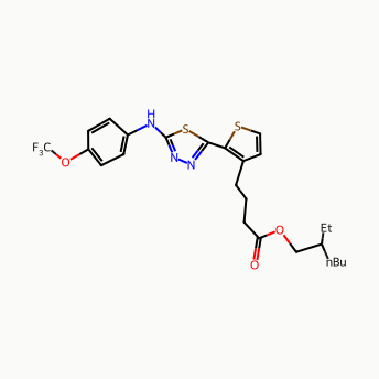 CCCCC(CC)COC(=O)CCCc1ccsc1-c1nnc(Nc2ccc(OC(F)(F)F)cc2)s1